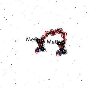 COc1ccc(C2(c3ccc(OCCOC(=O)CCC(=O)OC(C)COCC(C)OC(=O)CCC(=O)COCOc4ccc(C5(c6ccc(OC)cc6)C=Cc6c(cc(N7CCOCC7)c7ccccc67)O5)cc4)cc3)C=Cc3c(cc(N4CCOCC4)c4ccccc34)O2)cc1